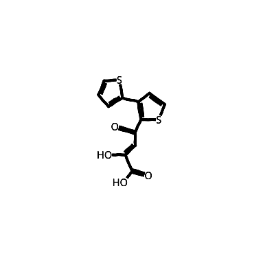 O=C(O)C(O)=CC(=O)c1sccc1-c1cccs1